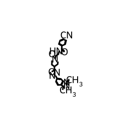 Cc1nn(C)c2cc(-c3noc(C4CCN(C(=O)CNC(=O)c5ccc(C#N)cc5)CC4)n3)ccc12